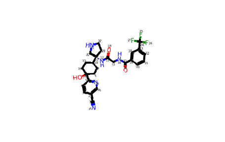 N#Cc1ccc(C2(O)CCC([C@]3(NC(=O)CNC(=O)c4cccc(C(F)(F)F)c4)CCNC3)CC2)nc1